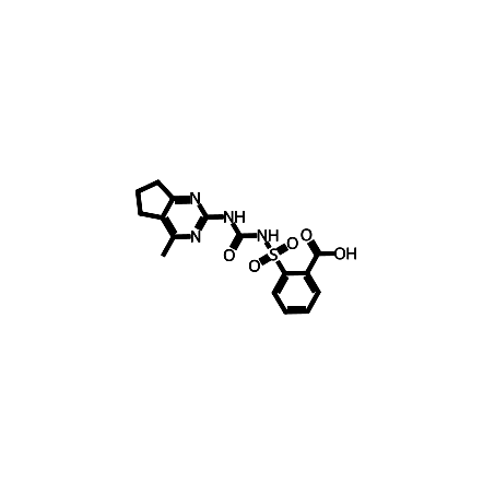 Cc1nc(NC(=O)NS(=O)(=O)c2ccccc2C(=O)O)nc2c1CCC2